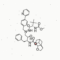 COC(=O)N[C@H](C(=O)NN(Cc1ccc(-c2ccccn2)cc1)C[C@@H](O)[C@H](Cc1ccccc1)NC(=O)OC1C2COC3OCC1C3C2)C(C)(C)C